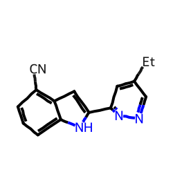 CCc1cnnc(-c2cc3c(C#N)cccc3[nH]2)c1